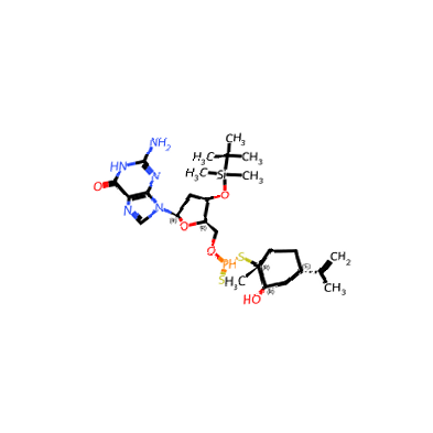 C=C(C)[C@H]1CC[C@@](C)(S[PH](=S)OC[C@H]2O[C@@H](n3cnc4c(=O)[nH]c(N)nc43)CC2O[Si](C)(C)C(C)(C)C)[C@H](O)C1